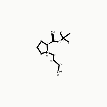 CC(C)(C)OC(=O)[C@@H]1CCCN1CCCO